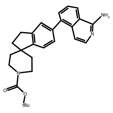 CC(C)(C)OC(=O)N1CCC2(CCc3cc(-c4cccc5c(N)nccc45)ccc32)CC1